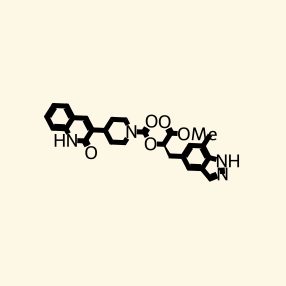 COC(=O)[C@@H](Cc1cc(C)c2[nH]ncc2c1)OC(=O)N1CCC(c2cc3ccccc3[nH]c2=O)CC1